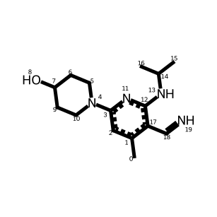 Cc1cc(N2CCC(O)CC2)nc(NC(C)C)c1C=N